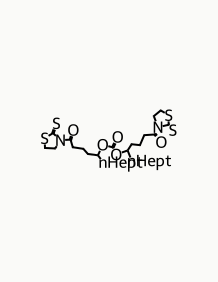 CCCCCCCC(CCCC(=O)N1CCSC1=S)OC(=O)OC(CCCCCCC)CCCC(=O)N1CCSC1=S